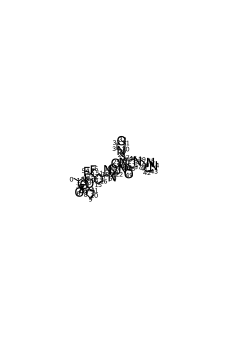 CC(C)CS(=O)(=O)c1ccccc1Oc1ccc(-c2noc(CN3C(=O)N(CCN4CCOCC4)C4(CCN(Cc5cccnn5)CC4)C3=O)n2)cc1C(F)(F)F